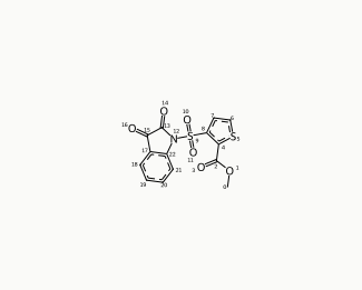 COC(=O)c1sccc1S(=O)(=O)N1C(=O)C(=O)c2ccccc21